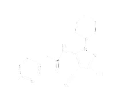 Cc1nn(C2CCOCC2)c(NC(=O)Cc2ccc(I)nc2)c1C#N